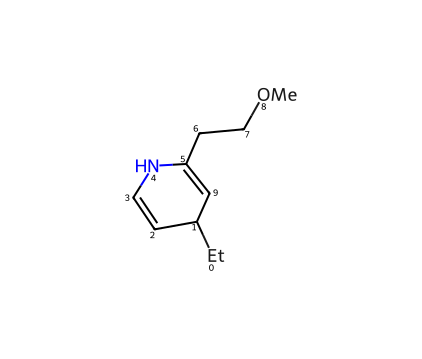 CCC1C=CNC(CCOC)=C1